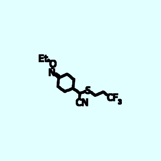 CCON=C1CCC(C(C#N)SCCC(F)(F)F)CC1